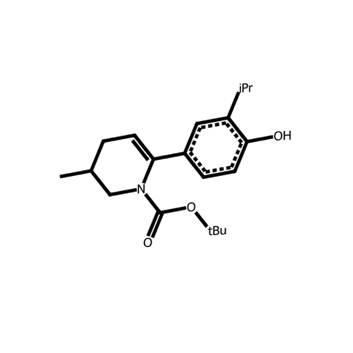 CC1CC=C(c2ccc(O)c(C(C)C)c2)N(C(=O)OC(C)(C)C)C1